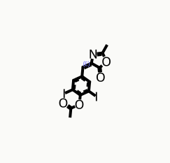 CC(=O)Oc1c(I)cc(/C=C2/N=C(C)OC2=O)cc1I